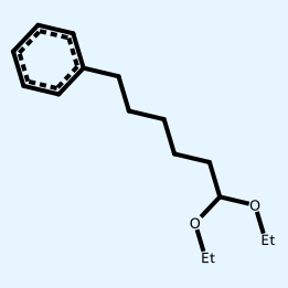 CCOC(CCCCCc1ccccc1)OCC